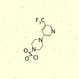 O=S(=O)(Cl)N1CCN(c2cncc(C(F)(F)F)c2)CC1